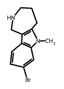 Cn1c2c(c3ccc(Br)cc31)CNCCC2